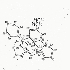 Cl.Cl.[CH2]=[Zr]([C]1=CC=CC1)([c]1ccccc1)([c]1ccccc1)[c]1cccc2c1Cc1ccccc1-2